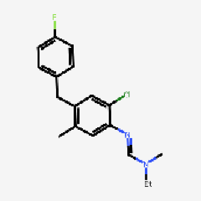 CCN(C)C=Nc1cc(C)c(Cc2ccc(F)cc2)cc1Cl